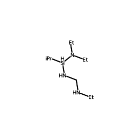 CCNCN[SiH](C(C)C)N(CC)CC